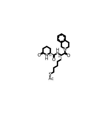 CC(=O)SCCCCC[C@H](NC(=O)[C@@H]1CCCC(=O)N1)C(=O)N1CCc2ccccc2C1